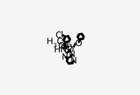 Cc1c(Cl)cccc1S(=O)(=O)Nc1nc2cccnc2nc1OCCOc1ccccc1